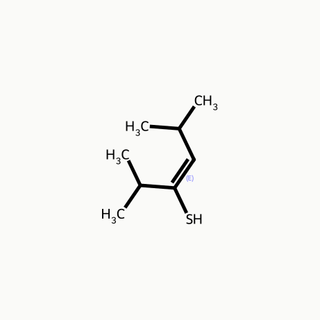 CC(C)/C=C(/S)C(C)C